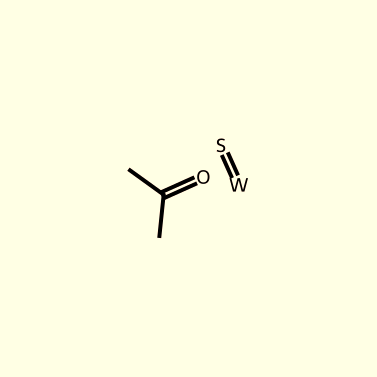 CC(C)=O.[S]=[W]